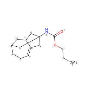 COCCOC(=O)NC12CC3=CCCC(CC3C1)C2